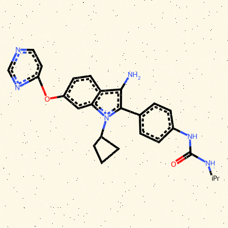 CC(C)NC(=O)Nc1ccc(-c2c(N)c3ccc(Oc4ccncn4)cc3n2C2CCC2)cc1